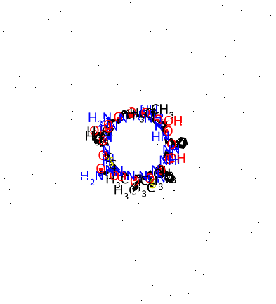 CCCC[C@H]1C(=O)N[C@@H](C)C(=O)NC(C(=O)NCC(N)=O)CSCC(=O)N[C@@H](Cc2ccc(O)cc2)C(=O)N(C)[C@@H](C)C(=O)N[C@@H](CC(N)=O)C(=O)N2CCC[C@H]2C(=O)N[C@@H](CN)C(=O)N[C@@H](CC(C)C)C(=O)N2C[C@H](O)CC2C(=O)N[C@@H](Cc2c[nH]c3ccccc23)C(=O)N[C@@H](CO)C(=O)N[C@@H](Cc2c[nH]c3ccccc23)C(=O)N(C)[C@@H](CCSC)C(=O)N1C